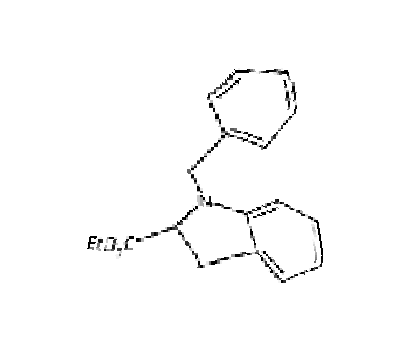 CCOC(=O)C1Cc2ccccc2N1Cc1ccccc1